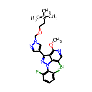 COc1ncc(Br)c2c1c(-c1cnn(COCC[Si](C)(C)C)c1)nn2-c1c(F)cccc1F